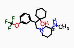 CN[C@H]1CCCN(CC(c2cccc(OC(F)(F)F)c2)C2(O)CCCCC2)C1